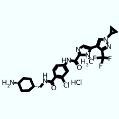 Cl.Cn1c(-c2cn(C3CC3)nc2C(F)(F)F)cnc1C(=O)Nc1ccc(C(=O)NC[C@H]2CC[C@H](N)CC2)c(Cl)c1